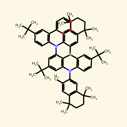 Cc1cc2c(cc1N1c3ccc(C(C)(C)C)cc3B3c4cc5c(cc4N(c4ccc(C(C)(C)C)cc4-c4ccccc4)c4cc(C(C)(C)C)cc1c43)C(C)(C)CCC5(C)C)C(C)(C)CCC2(C)C